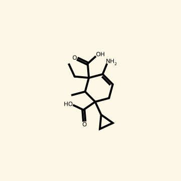 CCC1(C(=O)O)C(N)=CCC(C(=O)O)(C2CC2)C1C